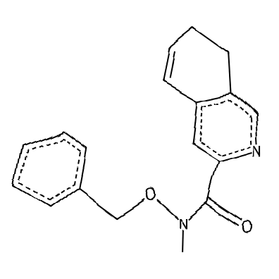 CN(OCc1ccccc1)C(=O)c1cc2c(cn1)CCC=C2